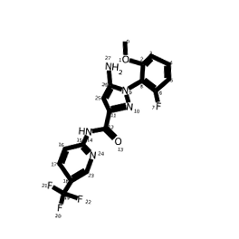 COc1cccc(F)c1-n1nc(C(=O)Nc2ccc(C(F)(F)F)cn2)cc1N